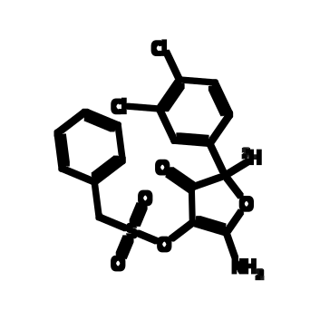 [2H]C1(c2ccc(Cl)c(Cl)c2)OC(N)=C(OS(=O)(=O)Cc2ccccc2)C1=O